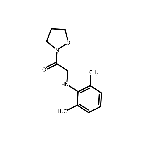 Cc1cccc(C)c1NCC(=O)N1CCCO1